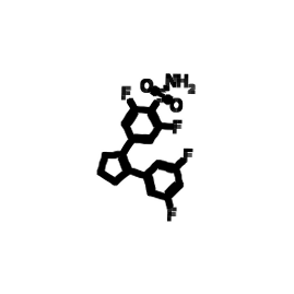 NS(=O)(=O)c1c(F)cc(C2=C(c3cc(F)cc(F)c3)CCC2)cc1F